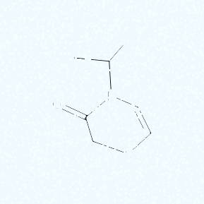 CC(C)N1C=CSCC1=O